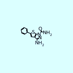 NC(=O)n1nc(N)c2cc(-c3ccccc3)sc21